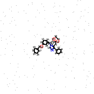 CC1(Cc2c(-c3ccccc3)ncn2Cc2cccc(OCc3ccccc3)c2)OCCO1